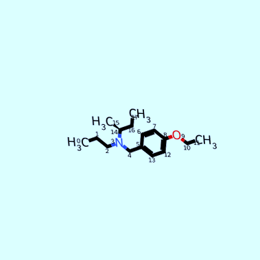 CCCN(Cc1ccc(OCC)cc1)[C@@H](C)CC